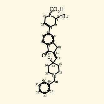 CC(C)(C)C1CC(c2ccc3c(c2)CC(=CC2(F)CCN(Cc4ccccc4)CC2)C3=O)=CCN1C(=O)O